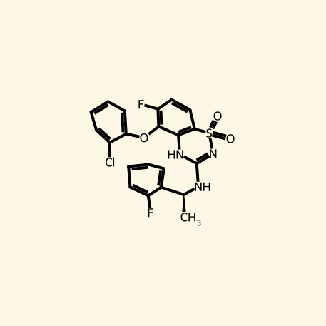 C[C@H](NC1=NS(=O)(=O)c2ccc(F)c(Oc3ccccc3Cl)c2N1)c1ccccc1F